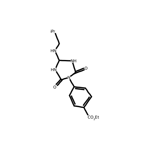 CCOC(=O)c1ccc(N2C(=O)NC(NCC(C)C)NC2=O)cc1